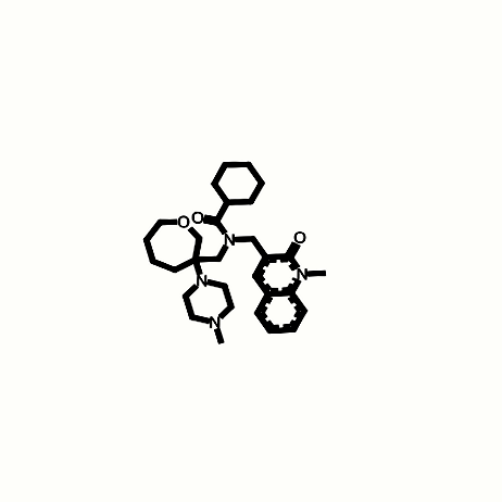 CN1CCN(C2(CN(Cc3cc4ccccc4n(C)c3=O)C(=O)C3CCCCC3)CCCCOC2)CC1